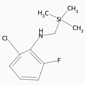 C[Si](C)(C)CNc1c(F)cccc1Cl